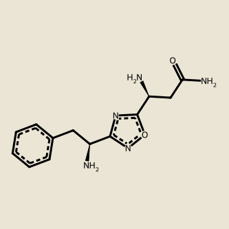 NC(=O)C[C@H](N)c1nc([C@@H](N)Cc2ccccc2)no1